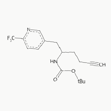 C#CCCC(Cc1ccc(C(F)(F)F)nc1)NC(=O)OC(C)(C)C